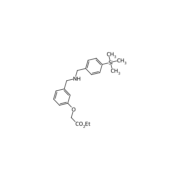 CCOC(=O)COc1cccc(CNCc2ccc([Si](C)(C)C)cc2)c1